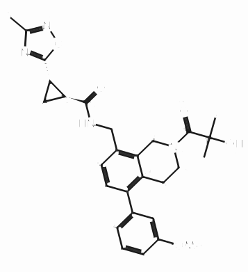 COc1cccc(-c2ccc(CNC(=O)[C@H]3C[C@@H]3c3nc(C)no3)c3c2CCN(C(=O)C(C)(C)O)C3)c1